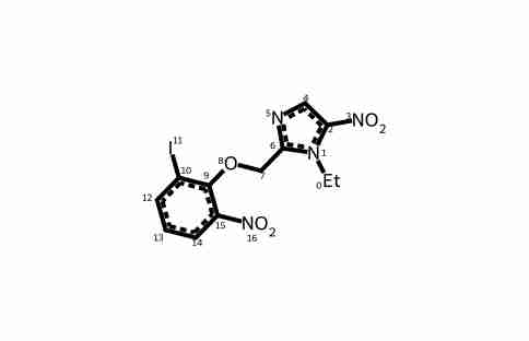 CCn1c([N+](=O)[O-])cnc1COc1c(I)cccc1[N+](=O)[O-]